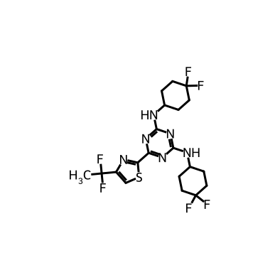 CC(F)(F)c1csc(-c2nc(NC3CCC(F)(F)CC3)nc(NC3CCC(F)(F)CC3)n2)n1